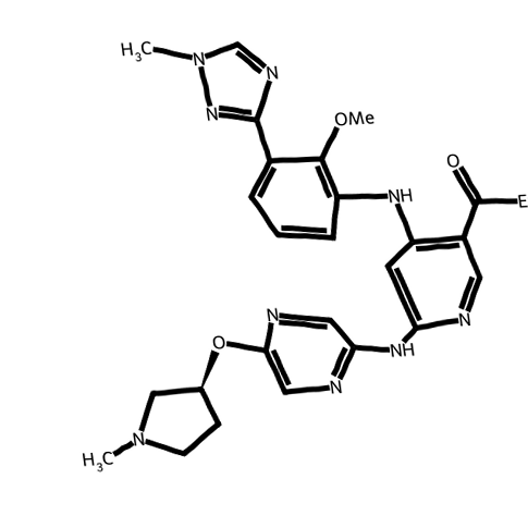 CCC(=O)c1cnc(Nc2cnc(O[C@H]3CCN(C)C3)cn2)cc1Nc1cccc(-c2ncn(C)n2)c1OC